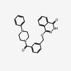 O=C(c1cccc(COc2n[nH]c(=O)c3ccccc23)c1)N1CCN(c2ccccc2)CC1